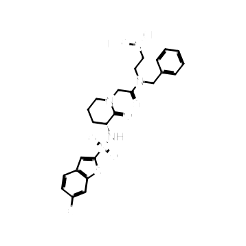 CN(C)CCN(Cc1ccccc1)C(=O)CN1CCC[C@H](NS(=O)(=O)c2cc3ccc(Cl)cc3s2)C1=O